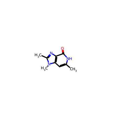 Cc1cc2c(nc(C)n2C)c(=O)[nH]1